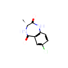 C[C@@H]1NC(=O)c2cc(Cl)ccc2NC1=O